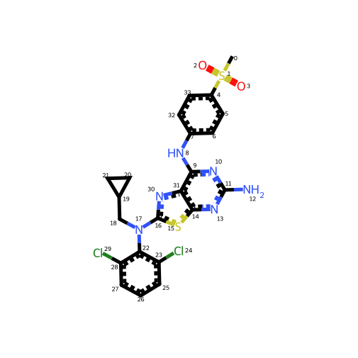 CS(=O)(=O)c1ccc(Nc2nc(N)nc3sc(N(CC4CC4)c4c(Cl)cccc4Cl)nc23)cc1